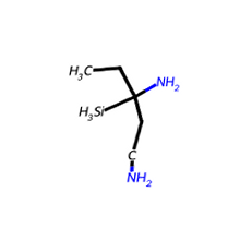 CCC(N)([SiH3])CCN